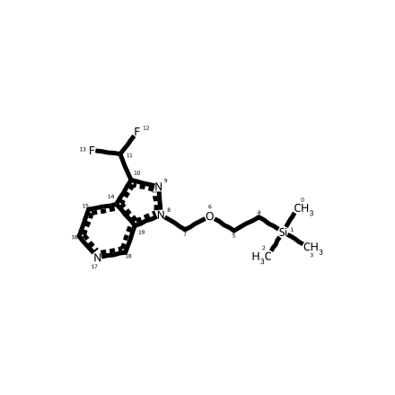 C[Si](C)(C)CCOCn1nc(C(F)F)c2ccncc21